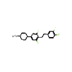 CCCC1CCC(c2cc(F)c(CCc3ccc(F)c(F)c3)c(F)c2)CC1